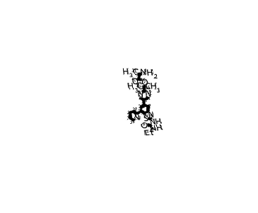 CCNC(=O)Nc1nc2cc(-c3cnc(C(C)(C)OC(=O)[C@H](C)N)nc3)cc(-c3ccccn3)c2s1